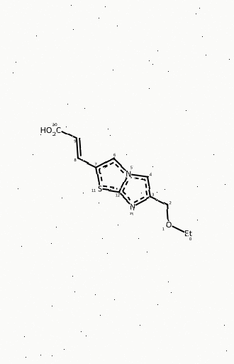 CCOCc1cn2cc(C=CC(=O)O)sc2n1